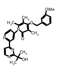 COc1cccc(COc2c(C)c(C)n(-c3ccnc(-c4ccnc(C(C)(C)O)n4)c3)c(=O)c2C)c1